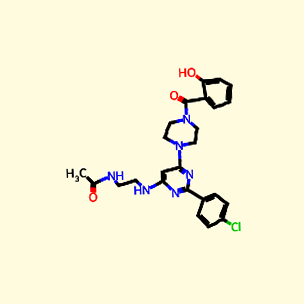 CC(=O)NCCNc1cc(N2CCN(C(=O)c3ccccc3O)CC2)nc(-c2ccc(Cl)cc2)n1